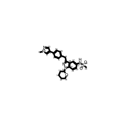 Cn1cc(-c2ccc(Cc3nn(C4CCCCO4)c4ccc(NS(C)(=O)=O)cc34)cc2)cn1